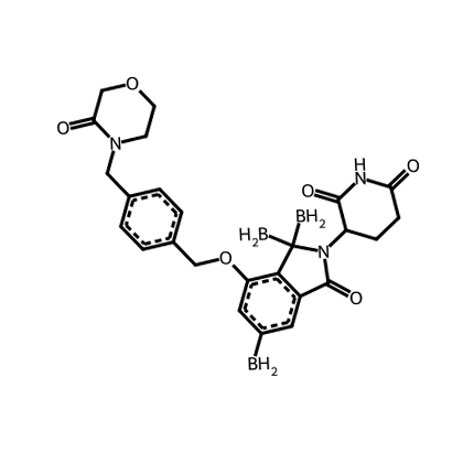 Bc1cc(OCc2ccc(CN3CCOCC3=O)cc2)c2c(c1)C(=O)N(C1CCC(=O)NC1=O)C2(B)B